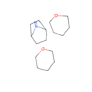 C1CC2CCC1N2.C1CCOCC1.C1CCOCC1